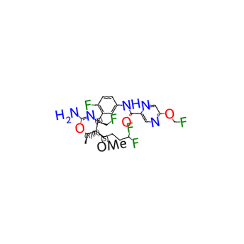 CO[C@@H](CCC(F)F)[C@H]1[C@@H](C)OC(N)=N[C@]1(CF)c1cc(NC(=O)c2cnc(OCF)cn2)ccc1F